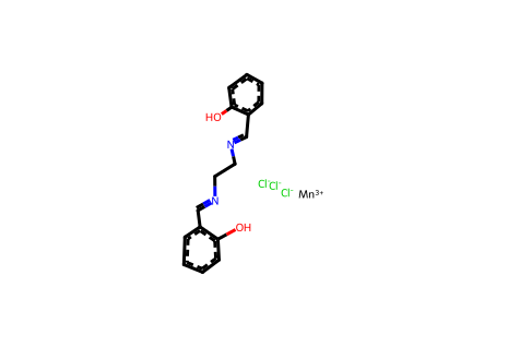 Oc1ccccc1C=NCCN=Cc1ccccc1O.[Cl-].[Cl-].[Cl-].[Mn+3]